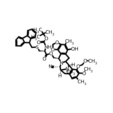 COCOc1c(OC)c(C)cc2c1[C@@H]1C3Cc4c(O)c(C)c5c(c4[C@H](COC(=O)[C@@H](CSCC4c6ccccc6-c6ccccc64)NC(=O)OC(C)(C)C)N3[C@@H](C#N)[C@H](C2)N1C)OCO5